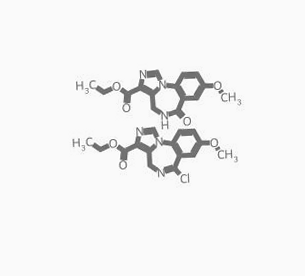 CCOC(=O)c1ncn2c1CN=C(Cl)c1cc(OC)ccc1-2.CCOC(=O)c1ncn2c1CNC(=O)c1cc(OC)ccc1-2